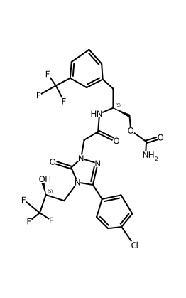 NC(=O)OC[C@H](Cc1cccc(C(F)(F)F)c1)NC(=O)Cn1nc(-c2ccc(Cl)cc2)n(C[C@H](O)C(F)(F)F)c1=O